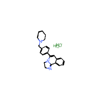 C1=C(c2ccc(CN3CCCCC3)cc2)N2CCN=C2c2ccccc21.Cl.Cl